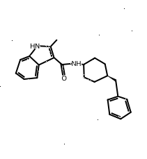 Cc1[nH]c2ccccc2c1C(=O)N[C@H]1CC[C@H](Cc2ccccc2)CC1